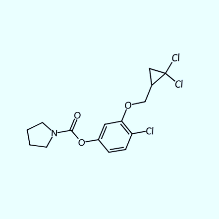 O=C(Oc1ccc(Cl)c(OCC2CC2(Cl)Cl)c1)N1CCCC1